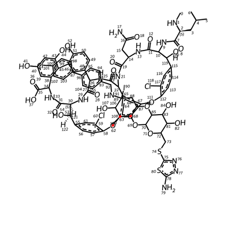 CN[C@@H](CC(C)C)C(=O)NC1C(=O)NC(CC(N)=O)C(=O)NC2C(=O)NC3C(=O)N[C@H](C(=O)NC(C(=O)O)c4cc(O)cc(O)c4-c4cc3ccc4O)[C@H](O)c3ccc(c(Cl)c3)Oc3cc2cc(c3OC2OC(CSc3nnc(N)s3)C(O)C(O)C2OC2CC(I)(NCc3ccc(-c4ccc(Cl)cc4)cc3)C(O)C(C)O2)Oc2ccc(cc2Cl)C1O